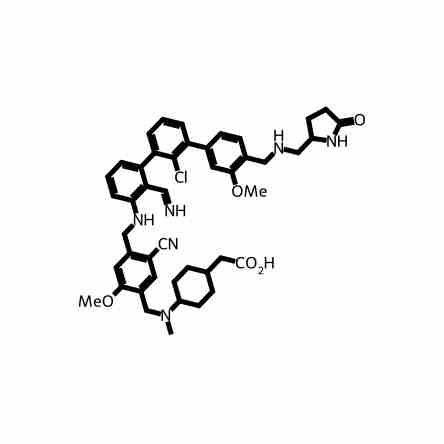 COc1cc(-c2cccc(-c3cccc(NCc4cc(OC)c(CN(C)C5CCC(CC(=O)O)CC5)cc4C#N)c3C=N)c2Cl)ccc1CNCC1CCC(=O)N1